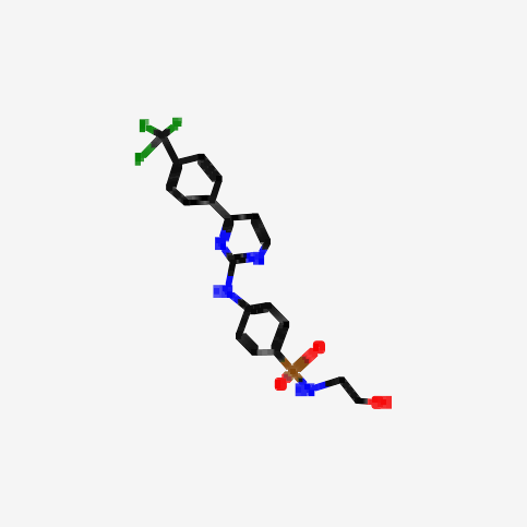 O=S(=O)(NCCO)c1ccc(Nc2nccc(-c3ccc(C(F)(F)F)cc3)n2)cc1